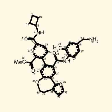 COC(=O)c1nc(C(=O)NC2CCC2)ccc1-c1cc2c(cc1C(=O)Nc1ccc(CN)cc1C)-c1sccc1CCO2